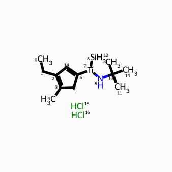 CCC1=C(C)C[C]([Ti]([SiH3])[NH]C(C)(C)C)=C1.Cl.Cl